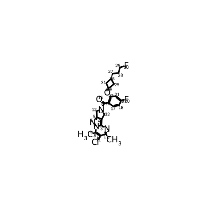 Cc1nc2c3c(nn2c(C)c1Cl)CN(C(=O)c1ccc(F)cc1O[C@H]1C[C@H](CCCF)C1)C3